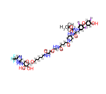 CC(C)(C)OC(=O)N[C@@H](Cc1cc(I)c(Oc2ccc(O)c(I)c2)c(I)c1)C(=O)NC1CCN(C(=O)CCCC(=O)NCCOCCC(=O)NCCCCCCOC[C@H]2OC[C@H](Nc3cncc(C(F)(F)F)n3)[C@@H](O)[C@H]2O)CC1